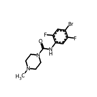 CN1CCN(C(=O)Nc2cc(F)c(Br)cc2F)CC1